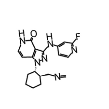 C=NC[C@H]1CCCC[C@@H]1n1nc(Nc2ccnc(F)c2)c2c(=O)[nH]ccc21